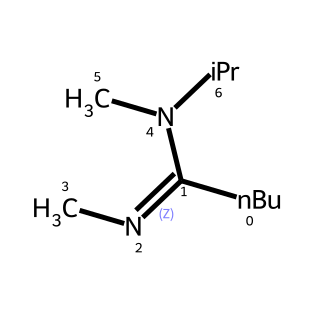 CCCC/C(=N/C)N(C)C(C)C